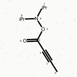 CC#CC(=O)ON(C(C)C)C(C)C